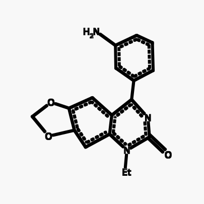 CCn1c(=O)nc(-c2cccc(N)c2)c2cc3c(cc21)OCO3